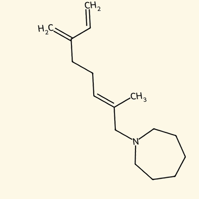 C=CC(=C)CC/C=C(\C)CN1CCCCCC1